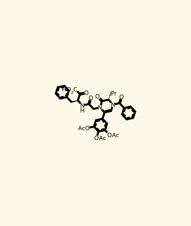 CC(=O)Oc1cc(C2=CN(C(=O)c3ccccc3)[C@@H](C(C)C)C(=O)N2CC(=O)N[C@@H](Cc2ccccc2)C(=O)C(=O)O)cc(OC(C)=O)c1OC(C)=O